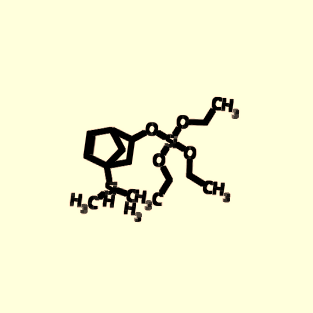 CCO[Si](OCC)(OCC)OC1CC2([SiH](C)C)C=CC1C2